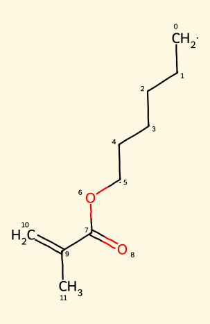 [CH2]CCCC[CH]OC(=O)C(=C)C